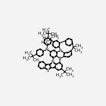 CC(C)(C)c1ccc(N(c2ccc(C(C)(C)C)cc2)c2cc3c4c(c2)-n2c5c(cc(C(C)(C)C)cc5c5sc6ccccc6c52)B4c2ccc4cc2N3c2ccc(C(C)(C)C)cc2-c2ccc(cc2)C4(C)C)cc1